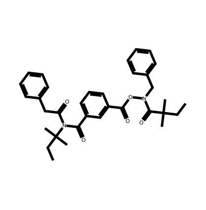 CCC(C)(C)C(=O)N(Cc1ccccc1)OC(=O)c1cccc(C(=O)N(C(=O)Cc2ccccc2)C(C)(C)CC)c1